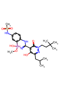 CO[PH]1(O)N=C(c2c(O)c(CC(C)C)nn(CCC(C)(C)C)c2=O)Nc2ccc(NS(C)(=O)=O)cc21